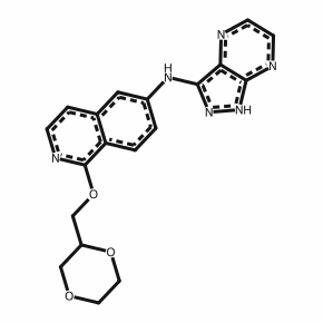 c1cc2cc(Nc3n[nH]c4nccnc34)ccc2c(OCC2COCCO2)n1